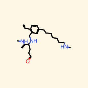 C=Cc1ccc(CCCCCCCNC)cc1CNC(CCC=O)C(=C)NC